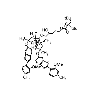 COc1cc(C)ccc1-c1cc2ccc(OC(C)(C)CC(C)(C)C(OCC(O)CCCOC(=O)C(C)(CC(C)(C)C)C(C)(C)C)C(C)(C)CC(C)(C)Oc3ccc4cc(-c5ccc(C)cc5OC)sc4c3)cc2s1